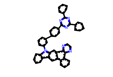 c1ccc(-c2nc(-c3ccccc3)nc(-c3ccc(-c4cccc(-n5c6ccccc6c6cc7c8ccccc8c8nccnc8c7cc65)c4)cc3)n2)cc1